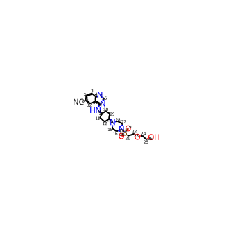 N#Cc1ccc2ncnc(N[C@H]3CC[C@H](N4CCN(S(=O)(=O)CCOCCO)CC4)CC3)c2c1